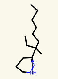 CCCCCCC(C)(CC)C1=NNCCC1